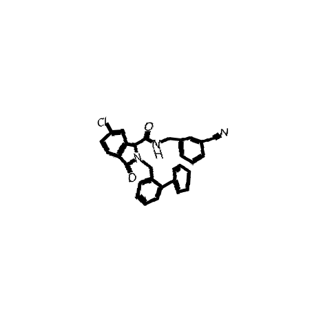 N#Cc1cccc(CNC(=O)C2c3cc(Cl)ccc3C(=O)N2Cc2ccccc2-c2ccccc2)c1